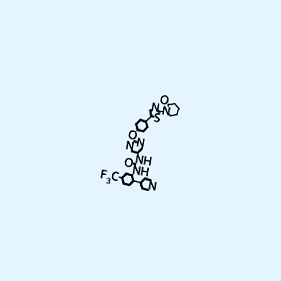 O=C(Nc1cnc(Oc2ccc(-c3cnc(N4CCCCC4=O)s3)cc2)nc1)Nc1cc(C(F)(F)F)ccc1-c1ccncc1